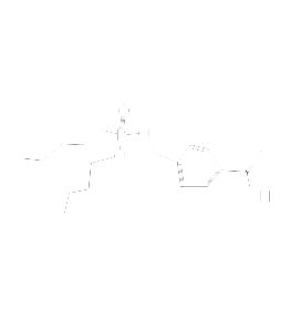 CCCCOP(=O)(OCCCC)OCc1ccc(C(=O)O)cc1